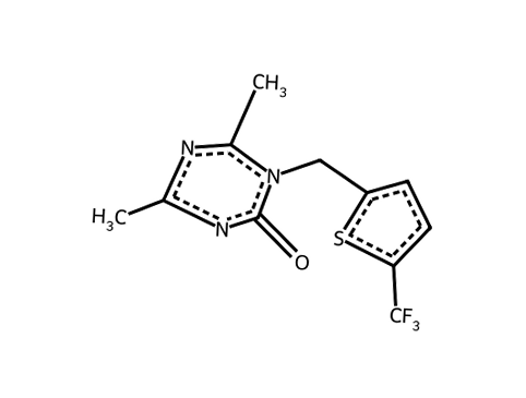 Cc1nc(C)n(Cc2ccc(C(F)(F)F)s2)c(=O)n1